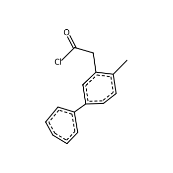 Cc1ccc(-c2ccccc2)cc1CC(=O)Cl